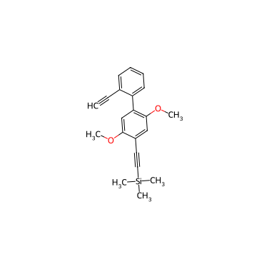 C#Cc1ccccc1-c1cc(OC)c(C#C[Si](C)(C)C)cc1OC